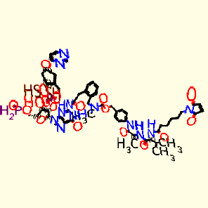 CC(C)[C@H](NC(=O)CCCCCN1C(=O)C=CC1=O)C(=O)N[C@@H](C)C(=O)Nc1ccc(COC(=O)N(C)Cc2ccccc2CC(=O)Nc2nc3c(ncn3[C@@H]3O[C@H](CO[PH2]=O)[C@@H](O)[C@H]3OP(=O)(S)OCC3C[C@@H](Oc4ccncn4)C[C@@H]3OS)c(=O)[nH]2)cc1